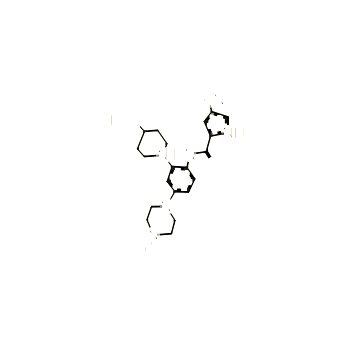 CC1CCN(c2cc(N3CCN(C)CC3)ccc2NC(=O)c2cc(C#N)c[nH]2)CC1